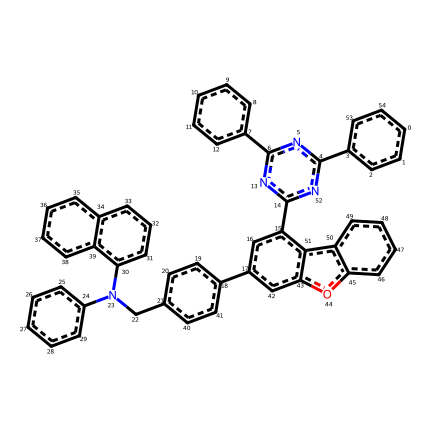 c1ccc(-c2nc(-c3ccccc3)nc(-c3cc(-c4ccc(CN(c5ccccc5)c5cccc6ccccc56)cc4)cc4oc5ccccc5c34)n2)cc1